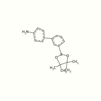 CC1(C)OB(c2cccc(-c3ccc(N)cc3)c2)OC1(C)C